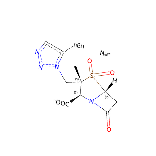 CCCCc1cnnn1C[C@@]1(C)[C@H](C(=O)[O-])N2C(=O)C[C@H]2S1(=O)=O.[Na+]